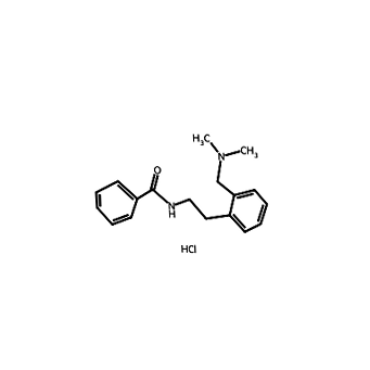 CN(C)Cc1ccccc1CCNC(=O)c1ccccc1.Cl